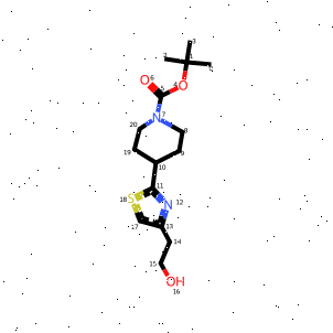 CC(C)(C)OC(=O)N1CCC(c2nc(CCO)cs2)CC1